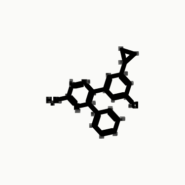 Nc1nnc(-c2cc(Cl)cc(C3CC3)c2)c(-c2ccccc2)n1